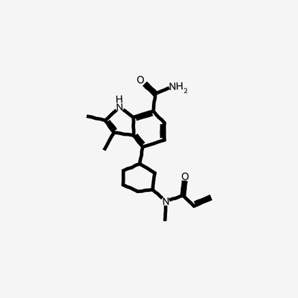 C=CC(=O)N(C)C1CCCC(c2ccc(C(N)=O)c3[nH]c(C)c(C)c23)C1